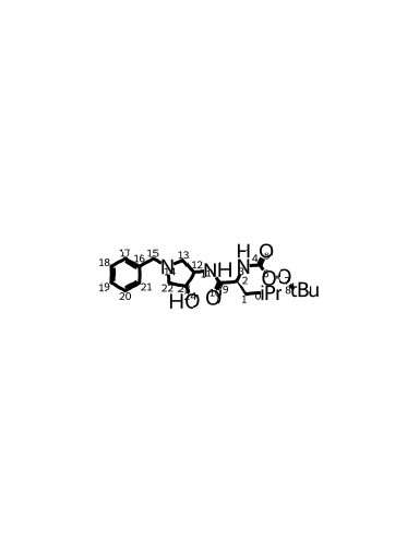 CC(C)C[C@H](NC(=O)OOC(C)(C)C)C(=O)NC1CN(Cc2ccccc2)CC1O